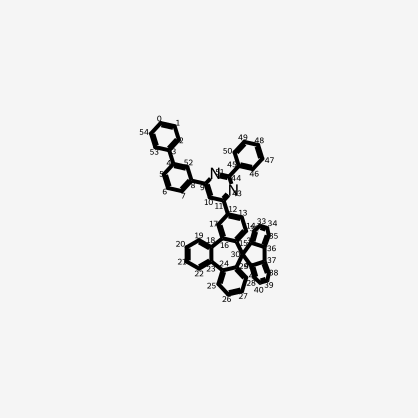 c1ccc(-c2cccc(-c3cc(-c4ccc5c(c4)-c4ccccc4-c4ccccc4C54c5ccccc5-c5ccccc54)nc(-c4ccccc4)n3)c2)cc1